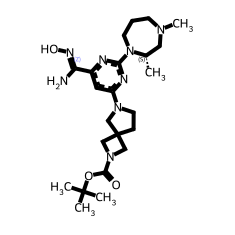 C[C@H]1CN(C)CCCN1c1nc(/C(N)=N/O)cc(N2CCC3(CN(C(=O)OC(C)(C)C)C3)C2)n1